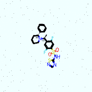 C[C@@H](c1cc(F)c(S(=O)(=O)Nc2ncns2)cc1F)N1CCCC[C@@H]1c1ccccc1